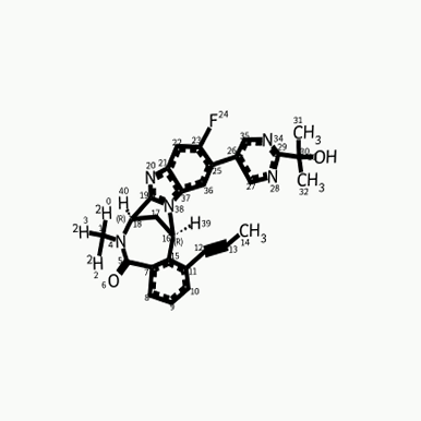 [2H]C([2H])([2H])N1C(=O)c2cccc(C#CC)c2[C@H]2C[C@@H]1c1nc3cc(F)c(-c4cnc(C(C)(C)O)nc4)cc3n12